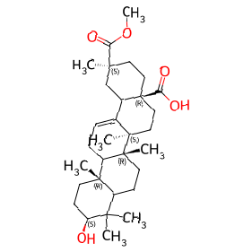 COC(=O)[C@@]1(C)CC[C@]2(C(=O)O)CC[C@]3(C)C(=CCC4[C@@]5(C)CC[C@H](O)C(C)(C)C5CC[C@]43C)C2C1